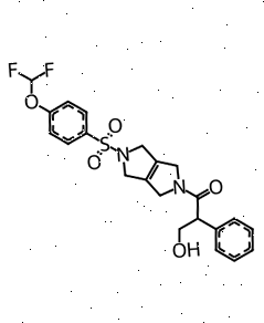 O=C(C(CO)c1ccccc1)N1CC2=C(C1)CN(S(=O)(=O)c1ccc(OC(F)F)cc1)C2